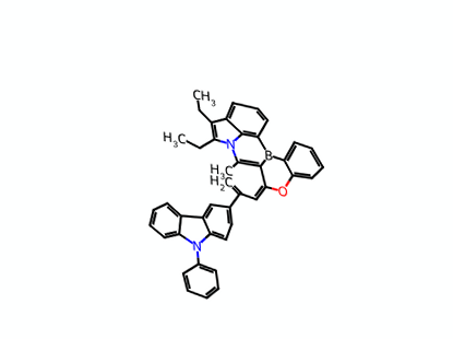 C=C(/C=C1/Oc2ccccc2B2C1=C(C)n1c(CC)c(CC)c3cccc2c31)c1ccc2c(c1)c1ccccc1n2-c1ccccc1